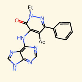 CCn1nc(-c2ccccc2)c(C(C)=O)c(Nc2ncnc3[nH]cnc23)c1=O